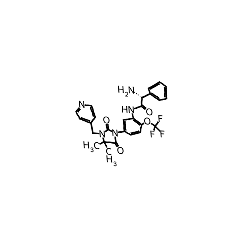 CC1(C)C(=O)N(c2ccc(OC(F)(F)F)c(NC(=O)[C@H](N)c3ccccc3)c2)C(=O)N1Cc1ccncc1